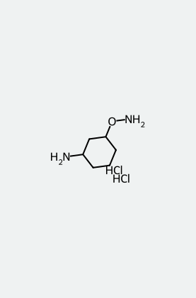 Cl.Cl.NOC1CCCC(N)C1